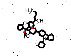 C/C(=C\C=C/N)c1ccc2c(c1)Oc1ccccc1C21C2CCCC=C2OC2C=C(C3=CC4C(C=C3)C3C=CC=CC3N4C3=CCCCC3)CCC21